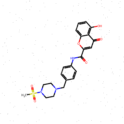 CS(=O)(=O)N1CCN(Cc2ccc(NC(=O)c3cc(=O)c4c(O)cccc4o3)cc2)CC1